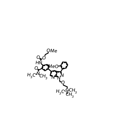 COCCOC(=O)Nc1ccc(-c2cnc3c(c2)c(-c2ccccc2OC)nn3COCC[Si](C)(C)C)cc1C(=O)N(C)C